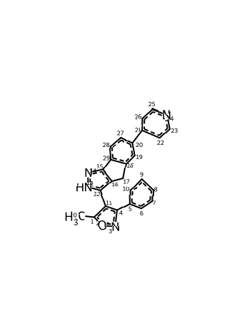 Cc1onc(-c2ccccc2)c1-c1[nH]nc2c1Cc1cc(-c3ccncc3)ccc1-2